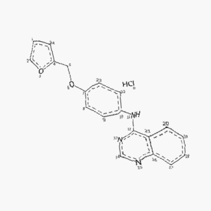 Cl.c1coc(COc2ccc(Nc3ncnc4ccccc34)cc2)c1